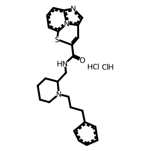 Cl.Cl.O=C(NCC1CCCCN1CCCc1ccccc1)C1=Cc2cnc3cccc(n23)S1